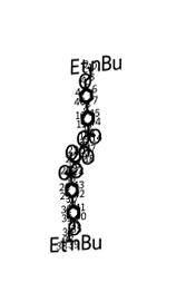 CCCCC(CC)COc1ccc(-c2ccc(C(=O)O[C@H]3COC4C3OC[C@H]4OC(=O)c3ccc(-c4ccc(OCC(CC)CCCC)cc4)cc3)cc2)cc1